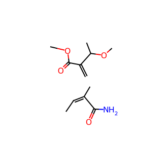 C=C(C(=O)OC)C(C)OC.CC=C(C)C(N)=O